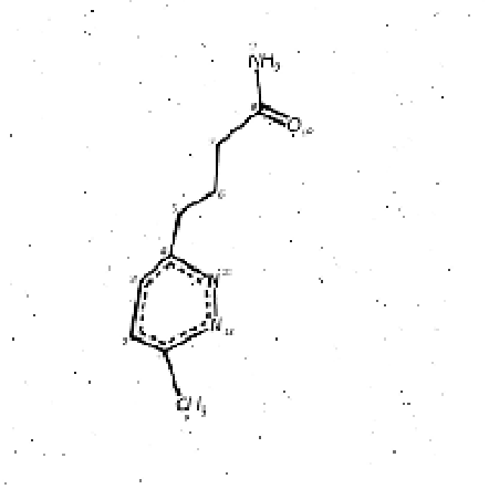 Cc1ccc(CCCC(N)=O)nn1